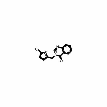 O=C1c2ccccc2N=C[SH]1Cc1ccc(Cl)s1